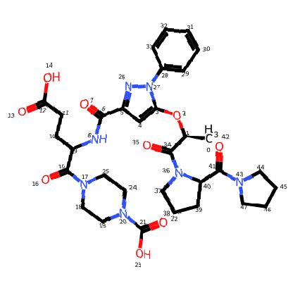 C[C@H](Oc1cc(C(=O)NC(CCC(=O)O)C(=O)N2CCN(C(=O)O)CC2)nn1-c1ccccc1)C(=O)N1CCCC1C(=O)N1CCCC1